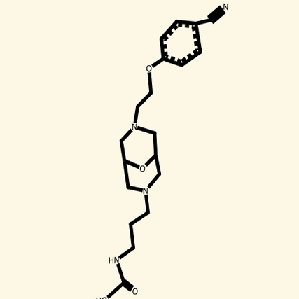 N#Cc1ccc(OCCN2CC3CN(CCCNC(=O)O)CC(C2)O3)cc1